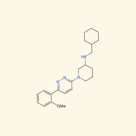 COc1ccccc1-c1ccc(N2CCCC(NCC3CCCCC3)C2)nn1